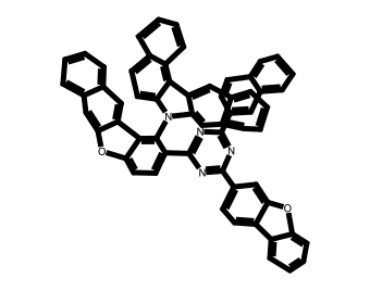 c1ccc2cc(-c3nc(-c4ccc5c(c4)oc4ccccc45)nc(-c4ccc5oc6cc7ccccc7cc6c5c4-n4c5cc6ccccc6cc5c5c6ccccc6ccc54)n3)ccc2c1